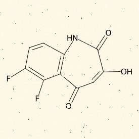 O=c1[nH]c2ccc(F)c(F)c2c(=O)cc1O